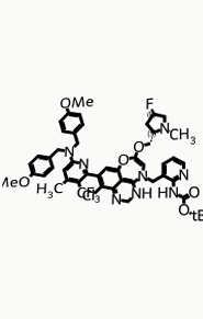 COc1ccc(CN(Cc2ccc(OC)cc2)c2cc(C)c(C(F)(F)F)c(-c3cc4c5c(c3Cl)=NCNC=5N(Cc3cccnc3NC(=O)OC(C)(C)C)C=C(OC[C@@H]3C[C@@H](F)CN3C)O4)n2)cc1